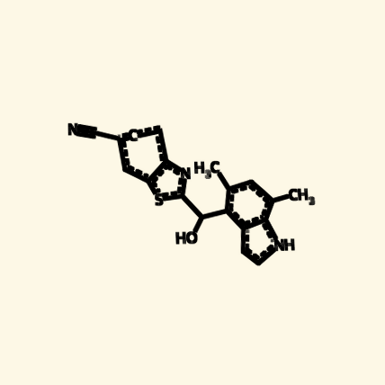 Cc1cc(C)c2[nH]ccc2c1C(O)c1nc2ccc(C#N)cc2s1